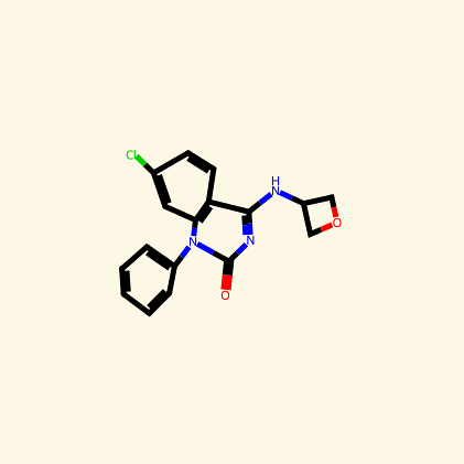 O=c1nc(NC2COC2)c2ccc(Cl)cc2n1-c1ccccc1